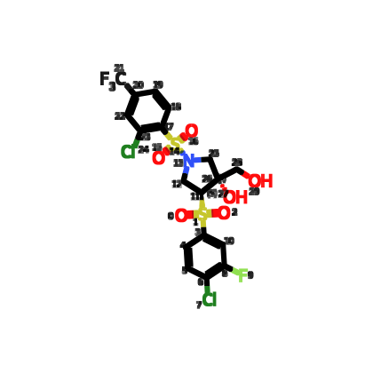 O=S(=O)(c1ccc(Cl)c(F)c1)[C@H]1CN(S(=O)(=O)c2ccc(C(F)(F)F)cc2Cl)C[C@@]1(O)CO